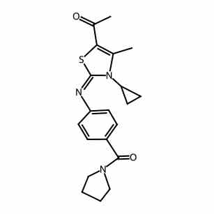 CC(=O)c1s/c(=N/c2ccc(C(=O)N3CCCC3)cc2)n(C2CC2)c1C